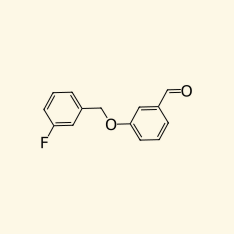 O=Cc1cccc(OCc2cccc(F)c2)c1